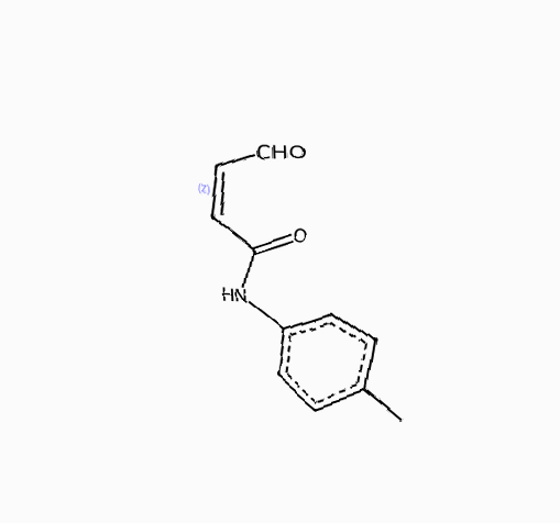 Cc1ccc(NC(=O)/C=C\C=O)cc1